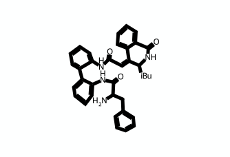 CCC(C)C1NC(=O)c2ccccc2C1=CC(=O)Nc1ccccc1-c1ccccc1NC(=O)C(N)Cc1ccccc1